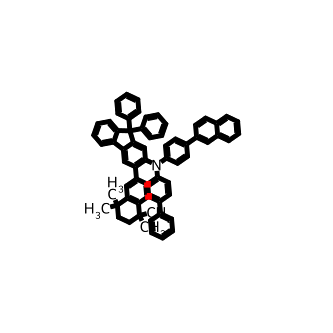 CC1(C)CCC(C)(C)c2cc(-c3cc4c(cc3N(c3ccc(-c5ccccc5)cc3)c3ccc(-c5ccc6ccccc6c5)cc3)C(c3ccccc3)(c3ccccc3)c3ccccc3-4)ccc21